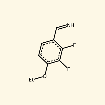 CCOc1ccc(C=N)c(F)c1F